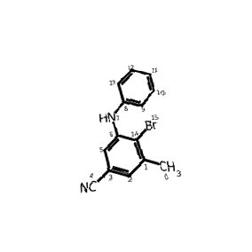 Cc1cc(C#N)cc(Nc2ccccc2)c1Br